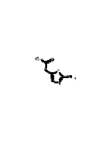 CC(C)(C)C(=O)Cc1cnc(N)s1